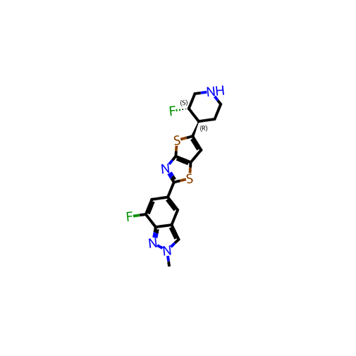 Cn1cc2cc(-c3nc4sc([C@@H]5CCNC[C@H]5F)cc4s3)cc(F)c2n1